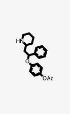 CC(=O)Oc1ccc(OC(CC2CCCCN2)c2ccccc2)cc1